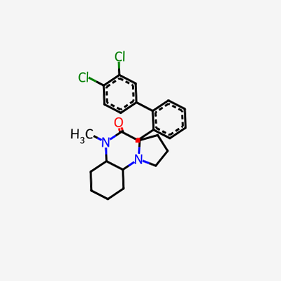 CN(C(=O)Cc1ccccc1-c1ccc(Cl)c(Cl)c1)C1CCCCC1N1CCCC1